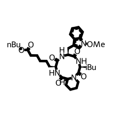 CCCCOC(=O)CCCCC[C@@H]1NC(=O)[C@H]2CCCCN2C(=O)[C@H](C(C)CC)NC(=O)[C@H](Cc2cn(OC)c3ccccc23)NC1=O